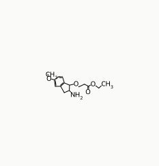 CCOC(=O)CCOC1c2ccc(OC)cc2CC1N